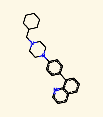 c1cnc2c(-c3ccc(N4CCN(CC5CCCCC5)CC4)cc3)cccc2c1